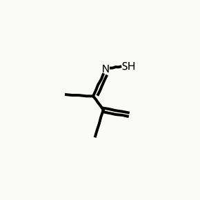 C=C(C)/C(C)=N\S